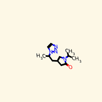 CC(C)N1CC(CC(C)n2ccnn2)CC1=O